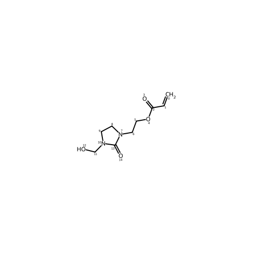 C=CC(=O)OCCN1CCN(CO)C1=O